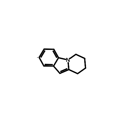 [c]1ccc2c(c1)cc1n2CCCC1